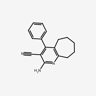 N#Cc1c(N)nc2c(c1-c1ccccc1)CCCCC2